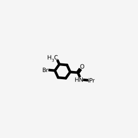 CC(C)NC(=O)C1CCC(Br)C(C)C1